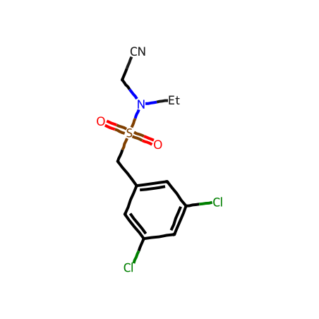 CCN(CC#N)S(=O)(=O)Cc1cc(Cl)cc(Cl)c1